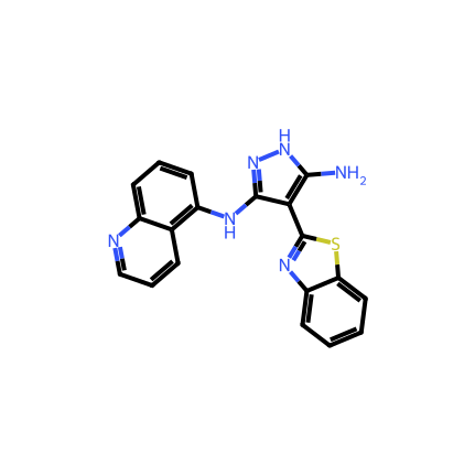 Nc1[nH]nc(Nc2cccc3ncccc23)c1-c1nc2ccccc2s1